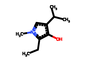 CCc1c(O)c(C(C)C)cn1C